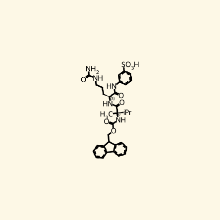 CC(C)[C@](C)(NC(=O)OCC1c2ccccc2-c2ccccc21)C(=O)N[C@@H](CCCNC(N)=O)C(=O)Nc1cccc(S(=O)(=O)O)c1